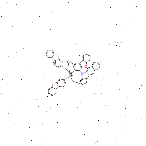 CC1C/C=C2/C(=C(c3ccc4c(c3)oc3ccccc34)\N=C/1c1ccc3c(c1)sc1ccccc13)Cc1ccc3c4cc5ccccc5cc4n(c3c1)-c1c2ccc2c1oc1ccccc12